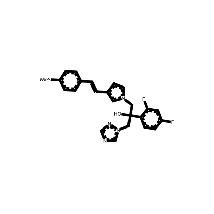 CSc1ccc(/C=C/c2ccn(CC(O)(Cn3cncn3)c3ccc(F)cc3F)c2)cc1